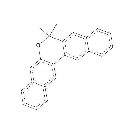 CC1(C)Oc2cc3ccccc3cc2-c2cc3ccccc3cc21